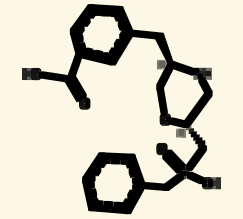 O=C(O)c1cccc(C[C@@H]2CO[C@@H](CP(=O)(O)Cc3ccccc3)CN2)c1